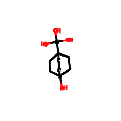 O[Si]12CCC([Si](O)(O)O)(CC1)CC2